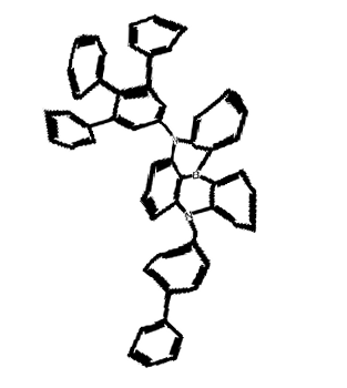 c1ccc(-c2ccc(N3c4ccccc4B4c5ccccc5N(c5cc(-c6ccccc6)c(-c6ccccc6)c(-c6ccccc6)c5)c5cccc3c54)cc2)cc1